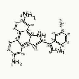 Nc1ccc2c3ccc(N)cc3c3[nH]c(-c4c[nH]c5ccc(Br)cc45)nc3c2c1